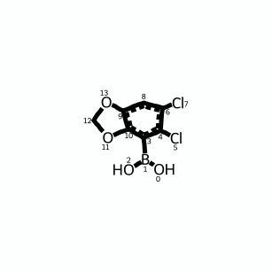 OB(O)c1c(Cl)c(Cl)cc2c1OCO2